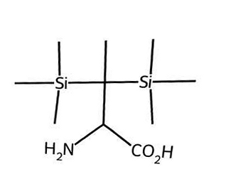 CC(C(N)C(=O)O)([Si](C)(C)C)[Si](C)(C)C